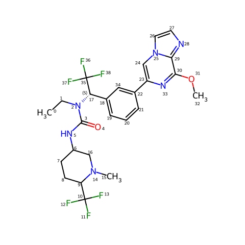 CCN(C(=O)NC1CCC(C(F)(F)F)N(C)C1)[C@@H](c1cccc(-c2cn3ccnc3c(OC)n2)c1)C(F)(F)F